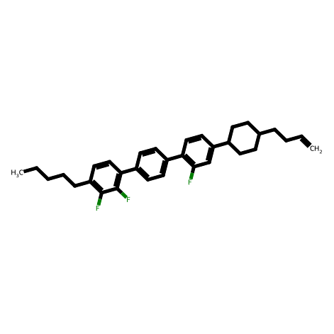 C=CCCC1CCC(c2ccc(-c3ccc(-c4ccc(CCCCC)c(F)c4F)cc3)c(F)c2)CC1